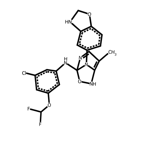 CC1=C2NOC(Nc3cc(Cl)cc(OC(F)F)c3)(N=C1)N2c1ccc2c(c1)NCO2